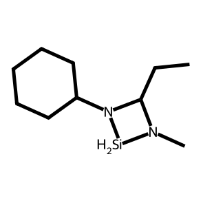 CCC1N(C)[SiH2]N1C1CCCCC1